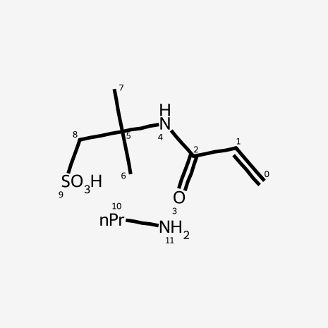 C=CC(=O)NC(C)(C)CS(=O)(=O)O.CCCN